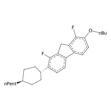 CCCCC[C@H]1CC[C@H](c2ccc3c(c2F)Cc2c-3ccc(OCCCC)c2F)CC1